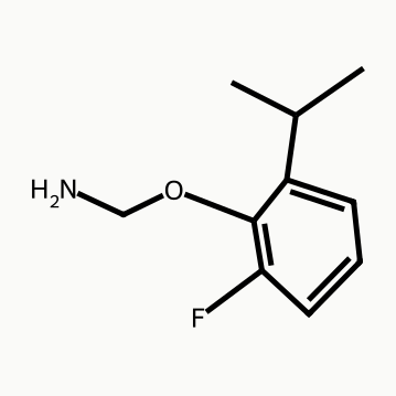 CC(C)c1cccc(F)c1OCN